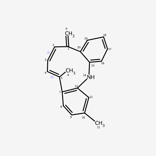 C=C1/C=C\C=C(/C)c2ccc(C)cc2Nc2ccccc21